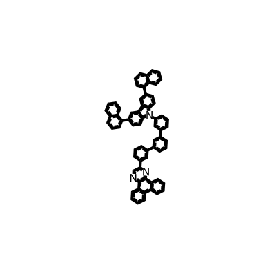 c1cc(-c2cccc(-c3cnc4c5ccccc5c5ccccc5c4n3)c2)cc(-c2cccc(-n3c4ccc(-c5cccc6ccccc56)cc4c4cc(-c5cccc6ccccc56)ccc43)c2)c1